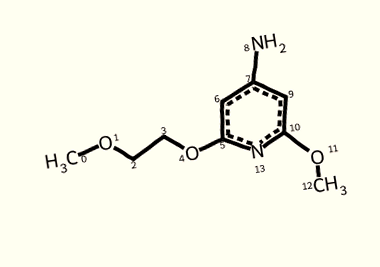 COCCOc1cc(N)cc(OC)n1